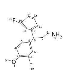 COc1ccc(C(CCN)c2cccc(F)c2)cc1F